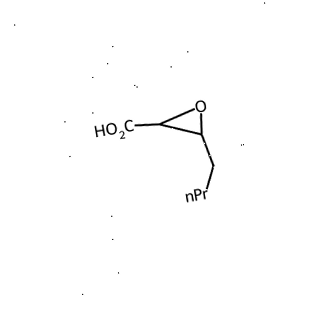 CCCCC1OC1C(=O)O